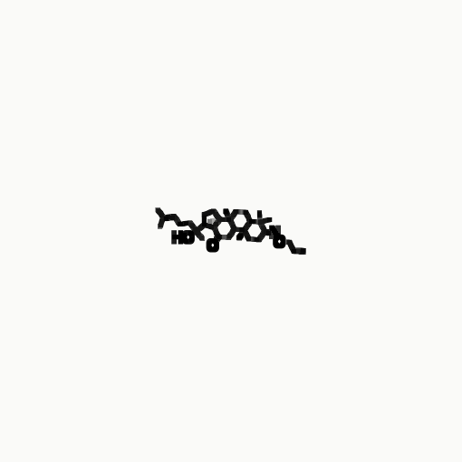 C=CCO/N=C1\CC[C@@]2(C)C(CC[C@]3(C)C2CC(=O)C2C(C(C)(O)CCC=C(C)C)CC[C@]23C)C1(C)C